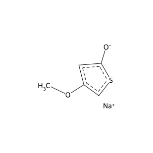 COc1csc([O-])c1.[Na+]